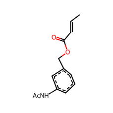 CC=CC(=O)OCc1cccc(NC(C)=O)c1